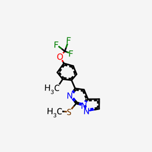 CSc1nc(-c2ccc(OC(F)(F)F)cc2C)cc2ccnn12